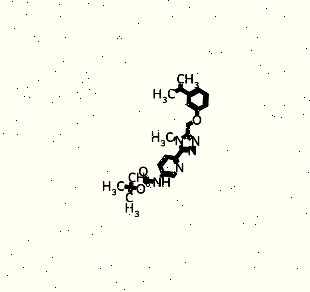 CC(C)c1cccc(OCc2nnc(-c3ccc(NC(=O)OC(C)(C)C)cn3)n2C)c1